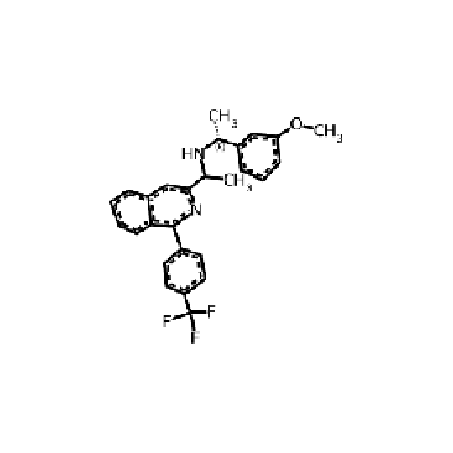 COc1cccc([C@@H](C)NC(C)c2cc3ccccc3c(-c3ccc(C(F)(F)F)cc3)n2)c1